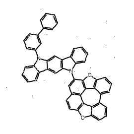 c1ccc(-c2cccc(-n3c4ccccc4c4cc5c(cc43)c3ccccc3n5-c3cc4ccc5oc6cccc7c6c5c4c4c3oc3cccc-7c34)c2)cc1